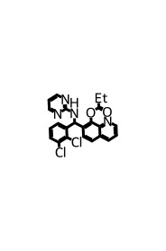 CCC(=O)Oc1c(C(Nc2ncccn2)c2cccc(Cl)c2Cl)ccc2cccnc12